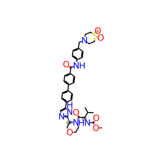 COC(=O)N[C@H](C(=O)N1CCOC[C@H]1c1ncc(-c2ccc(-c3ccc(C(=O)Nc4ccc(CN5CCS(=O)(=O)CC5)cc4)cc3)cc2)[nH]1)C(C)C